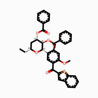 CC[C@@H]1C[C@H](OC(=O)c2ccccc2)[C@@H](OC(=O)c2ccccc2)[C@H](c2cc(C(=O)c3cc4ccccc4s3)c(OC)cc2C)O1